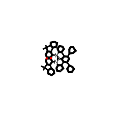 CC1(C)c2ccccc2-c2c(N3B4c5c(c(-c6ccccc6)cc(-c6ccccc6)c5-c5ccccc5N4c4cccc5c4-c4ccccc4C5(C)C)-c4ccccc43)cccc21